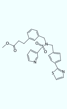 COC(=O)CCc1cccc(CN(Cc2ccc(-c3nccs3)cc2)S(=O)(=O)c2cccnc2)c1